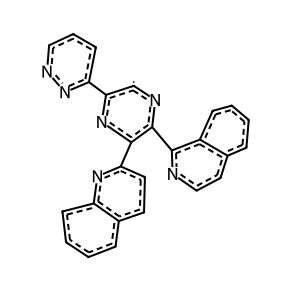 [c]1nc(-c2nccc3ccccc23)c(-c2ccc3ccccc3n2)nc1-c1cccnn1